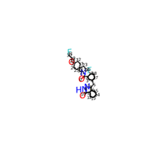 O=C(c1cc(Cc2n[nH]c(=O)c3ccccc23)ccc1F)N1CCC2(CCC(OCCF)CC2)C1